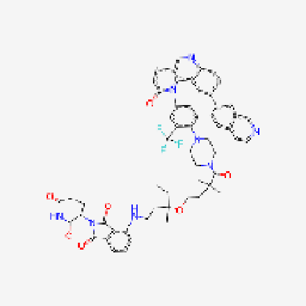 CCC(C)(CCNc1cccc2c1C(=O)N(C1CCC(=O)NC1=O)C2=O)OCCC(C)(C)C(=O)N1CCN(c2ccc(-n3c(=O)ccc4cnc5ccc(-c6ccc7ccncc7c6)cc5c43)cc2C(F)(F)F)CC1